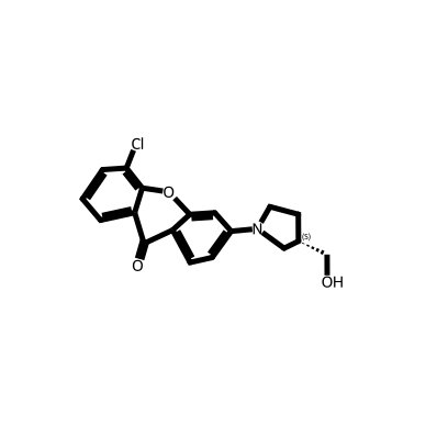 O=c1c2ccc(N3CC[C@H](CO)C3)cc2oc2c(Cl)cccc12